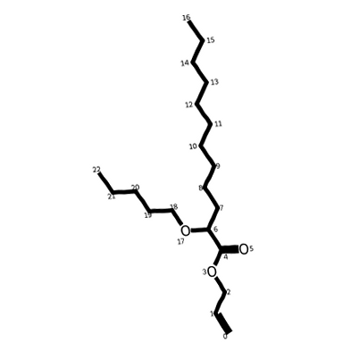 C=CCOC(=O)C(CCCCCCCCCC)OCCCCC